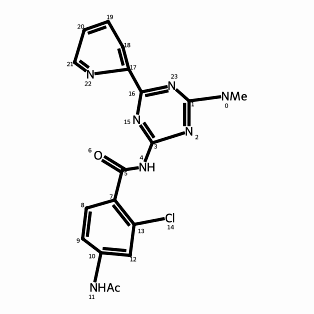 CNc1nc(NC(=O)c2ccc(NC(C)=O)cc2Cl)nc(-c2ccccn2)n1